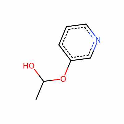 CC(O)Oc1cccnc1